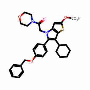 O=C(O)Oc1cc2c(s1)c(C1CCCCC1)c(-c1ccc(OCc3ccccc3)cc1)n2CC(=O)N1CCOCC1